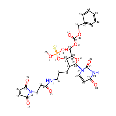 COP(O)(=S)O[C@@H]1C(CCCNC(=O)CCN2C(=O)C=CC2=O)[C@H](n2ccc(=O)[nH]c2=O)O[C@@H]1COC(=O)OCc1ccccc1